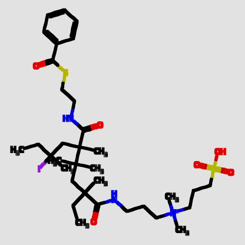 CCC(C)(I)CC(C)(C(=O)NCCSC(=O)c1ccccc1)C(C)(C)CC(C)(CC)C(=O)NCCC[N+](C)(C)CCCS(=O)(=O)O